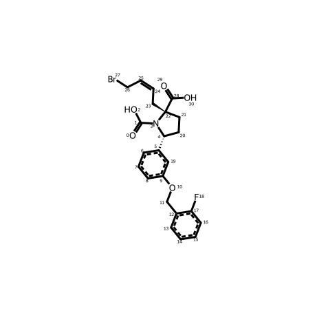 O=C(O)N1[C@@H](c2cccc(OCc3ccccc3F)c2)CC[C@@]1(C/C=C\CBr)C(=O)O